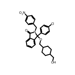 O=C1c2ccccc2C(OCC2CCC(CO)CC2)(c2ccc(Cl)cc2)N1Cc1ccc([N+](=O)[O-])cc1